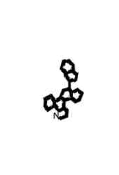 c1ccc2cc(-c3cc4c5ccccc5c5ncccc5c4c4ccccc34)ccc2c1